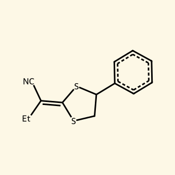 CC/C(C#N)=C1\SCC(c2ccccc2)S1